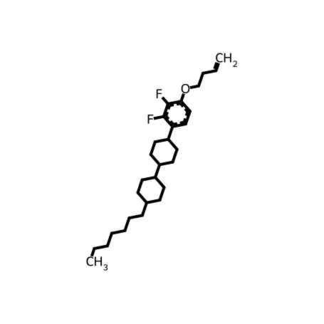 C=CCCOc1ccc(C2CCC(C3CCC(CCCCCCC)CC3)CC2)c(F)c1F